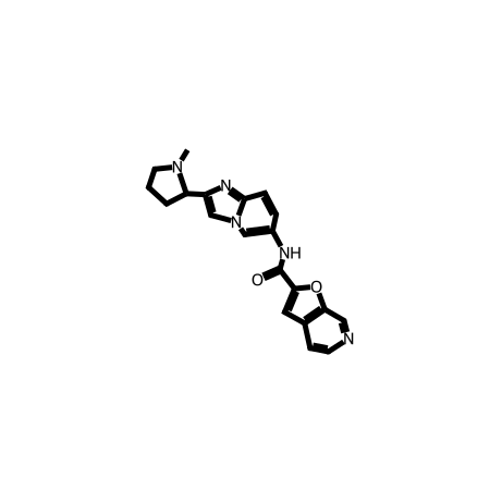 CN1CCCC1c1cn2cc(NC(=O)c3cc4ccncc4o3)ccc2n1